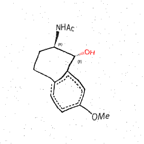 COc1ccc2c(c1)[C@@H](O)[C@H](NC(C)=O)CC2